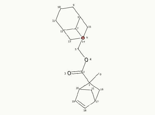 CC1(C(=O)OCOC2C3CCCC2CCC3)CC2C=CC1C2